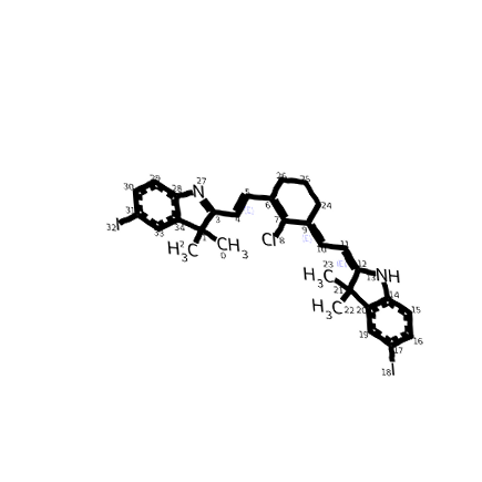 CC1(C)C(/C=C/C2=C(Cl)C(=C/C=C3/Nc4ccc(I)cc4C3(C)C)/CCC2)=Nc2ccc(I)cc21